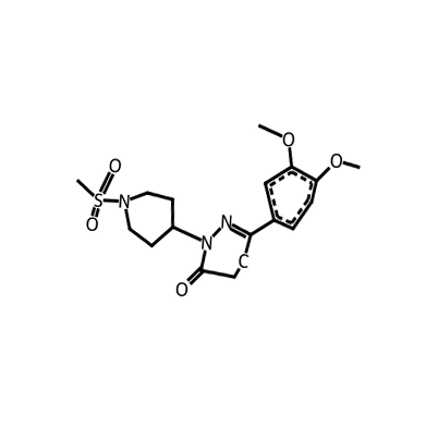 COc1ccc(C2=NN(C3CCN(S(C)(=O)=O)CC3)C(=O)CC2)cc1OC